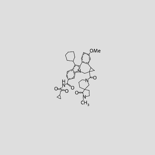 COc1ccc2c(c1)C1CC1(C(=O)N1CCCC3(CCN(C)C3=O)C1)Cn1c-2c(C2CCCCC2)c2ccc(C(=O)NS(=O)(=O)C3CC3)cc21